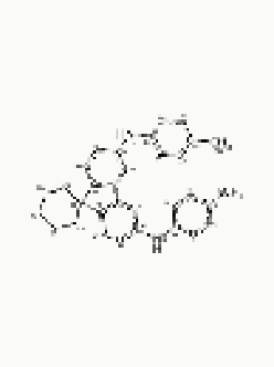 Cc1ccc(Nc2ccc(C3(c4ccc(Nc5ccc(C)cc5)cc4)CCCCC3)cc2)cc1